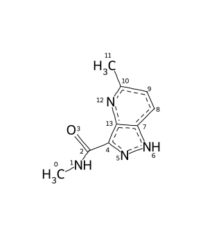 CNC(=O)c1n[nH]c2ccc(C)nc12